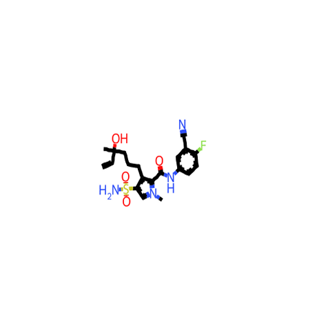 C=CC(C)(O)CCCc1c(S(N)(=O)=O)cn(C)c1C(=O)Nc1ccc(F)c(C#N)c1